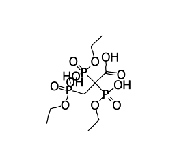 CCOP(=O)(O)CC(C(=O)O)(P(=O)(O)OCC)P(=O)(O)OCC